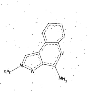 CCCn1cc2c(n1)c(N)nc1ccccc12